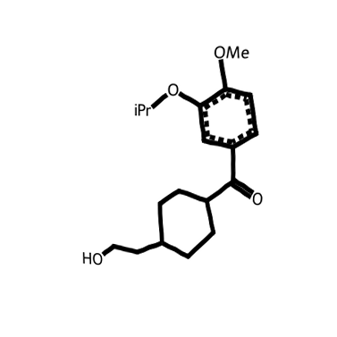 COc1ccc(C(=O)C2CCC(CCO)CC2)cc1OC(C)C